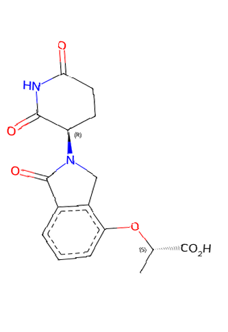 C[C@H](Oc1cccc2c1CN([C@@H]1CCC(=O)NC1=O)C2=O)C(=O)O